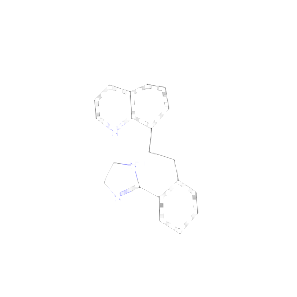 c1ccc(C2=NCCN2)c(CCc2cccc3cccnc23)c1